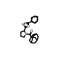 O=C(N1CCCC1c1nnc(-c2ccccc2)o1)C12CC3CC(CC(C3)C1)C2